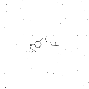 CC(CCCC(C)(C)C)Oc1ccc2c(c1)OCC2(C)C